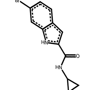 O=C(NC1CC1)c1cc2ccc(Br)cc2[nH]1